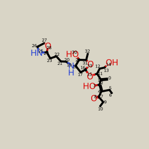 C=C(/C(O)=C(\CC)C(=O)CC)C(CCO)OC1CC(NCCCCC2NCCO2)C(O)C(C)O1